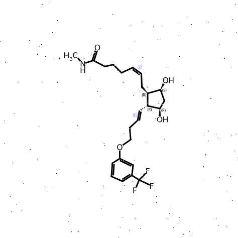 CNC(=O)CCC/C=C\C[C@@H]1[C@@H](/C=C/CCOc2cccc(C(F)(F)F)c2)[C@H](O)C[C@@H]1O